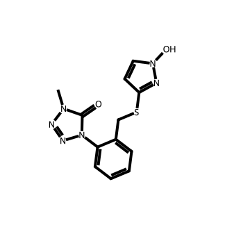 Cn1nnn(-c2ccccc2CSc2ccn(O)n2)c1=O